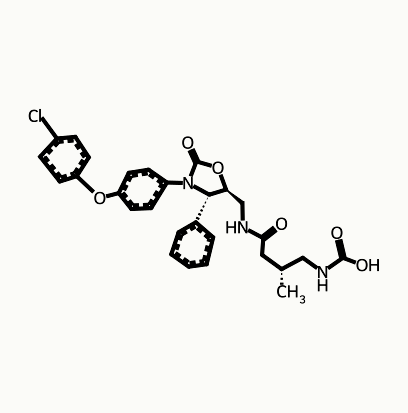 C[C@@H](CNC(=O)O)CC(=O)NC[C@@H]1OC(=O)N(c2ccc(Oc3ccc(Cl)cc3)cc2)[C@H]1c1ccccc1